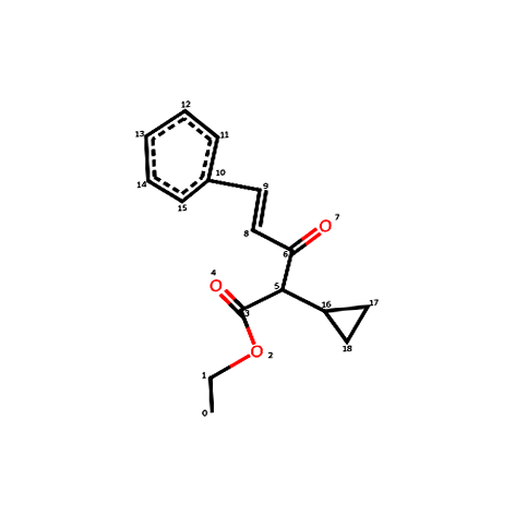 CCOC(=O)C(C(=O)C=Cc1ccccc1)C1CC1